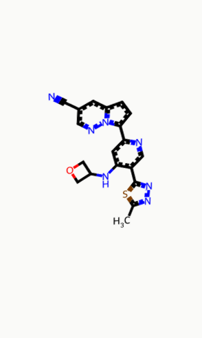 Cc1nnc(-c2cnc(-c3ccc4cc(C#N)cnn34)cc2NC2COC2)s1